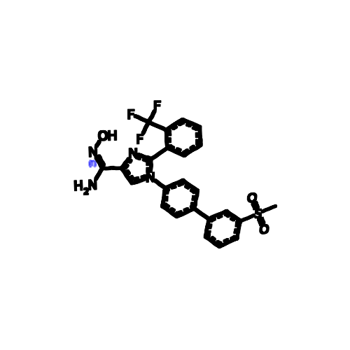 CS(=O)(=O)c1cccc(-c2ccc(-n3cc(/C(N)=N\O)nc3-c3ccccc3C(F)(F)F)cc2)c1